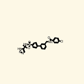 CC(C)(NS(=O)(=O)c1ccc(-c2cccc(CNC(=O)c3ccc(Cl)cc3)c2)cc1)c1cnn[nH]1